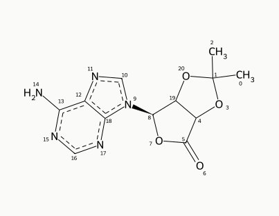 CC1(C)OC2C(=O)O[C@@H](n3cnc4c(N)ncnc43)C2O1